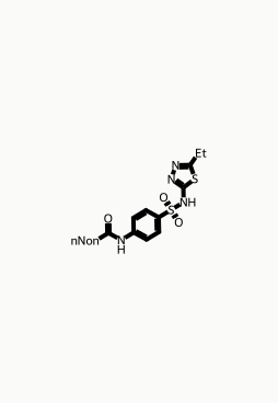 CCCCCCCCCC(=O)Nc1ccc(S(=O)(=O)Nc2nnc(CC)s2)cc1